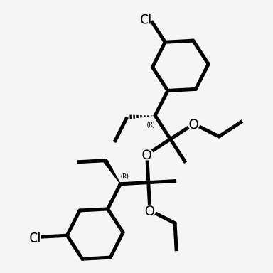 CCOC(C)(OC(C)(OCC)[C@H](CC)C1CCCC(Cl)C1)[C@H](CC)C1CCCC(Cl)C1